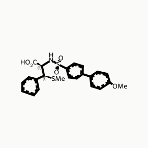 COc1ccc(-c2ccc(S(=O)(=O)N[C@H](C(=O)O)[C@@H](SC)c3ccccc3)cc2)cc1